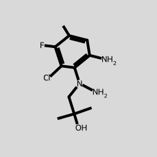 Cc1cc(N)c(N(N)CC(C)(C)O)c(Cl)c1F